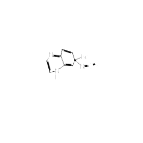 S=C=NC1(Br)C=CC2=NC=CNC2=C1